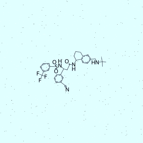 CC(C)(C)NCc1ccc2c(c1)CCCC2NC(=O)CC(NS(=O)(=O)c1cccc(C(F)(F)F)c1)c1cccc(C#N)c1